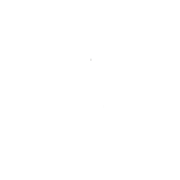 [CH2]C(CC)Oc1ccc(C(C)(C)CC)cc1